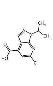 CC(C)n1ncc2c(C(=O)O)cc(Cl)nc21